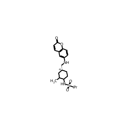 CC1C[C@H](CNc2ccc3oc(=O)ccc3c2)CCC1NS(=O)(=O)C(C)C